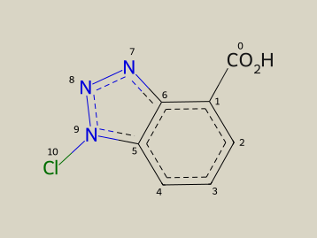 O=C(O)c1cccc2c1nnn2Cl